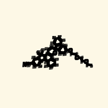 CCOCCOCCOc1ccc(C2(c3ccccc3)C=Cc3c4c(c5ccccc5c3O2)-c2ccc(C#N)cc2C4(C)C)cc1